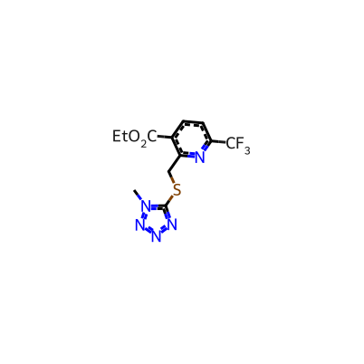 CCOC(=O)c1ccc(C(F)(F)F)nc1CSc1nnnn1C